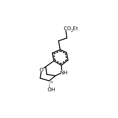 CCOC(=O)CCc1ccc2c(c1)C1CC(N2)[C@H](O)CO1